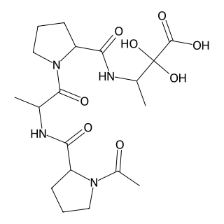 CC(=O)N1CCCC1C(=O)NC(C)C(=O)N1CCCC1C(=O)NC(C)C(O)(O)C(=O)O